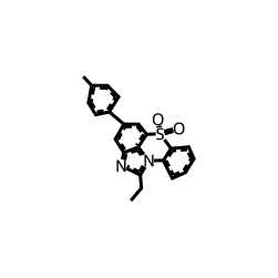 CCc1nc2cc(-c3ccc(C)cc3)cc3c2n1-c1ccccc1S3(=O)=O